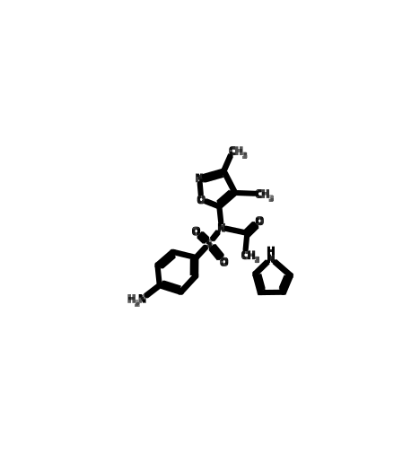 CC(=O)N(c1onc(C)c1C)S(=O)(=O)c1ccc(N)cc1.c1cc[nH]c1